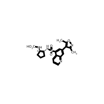 Cc1noc(C)c1-c1cc(S(=O)(=O)N[C@@H]2CCC[C@H]2NC(=O)O)c2cccnc2c1